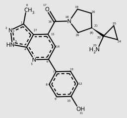 Cc1n[nH]c2nc(-c3ccc(O)cc3)cc(C(=O)N3CC[C@@H](C4(N)CC4)C3)c12